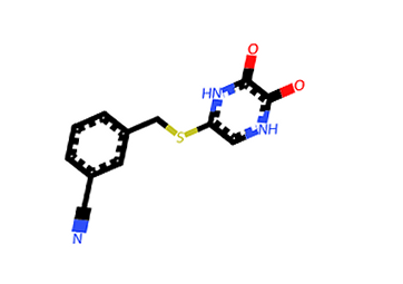 N#Cc1cccc(CSc2c[nH]c(=O)c(=O)[nH]2)c1